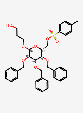 Cc1ccc(S(=O)(=O)OC[C@H]2O[C@H](OCCCO)[C@H](OCc3ccccc3)[C@@H](OCc3ccccc3)[C@@H]2OCc2ccccc2)cc1